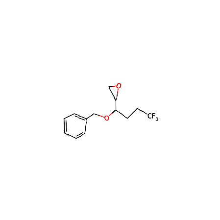 FC(F)(F)CCC(OCc1ccccc1)C1CO1